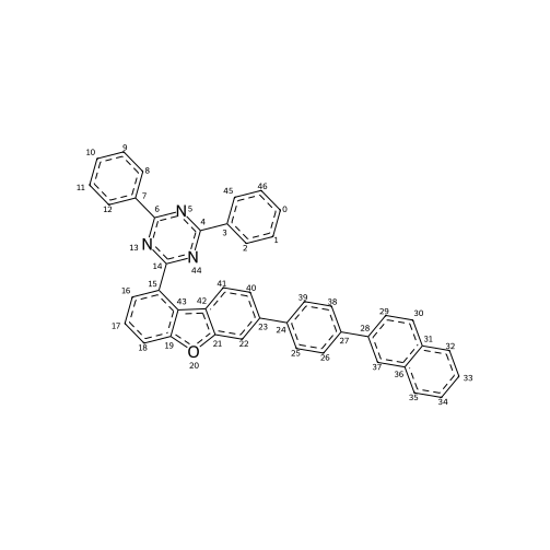 c1ccc(-c2nc(-c3ccccc3)nc(-c3cccc4oc5cc(-c6ccc(-c7ccc8ccccc8c7)cc6)ccc5c34)n2)cc1